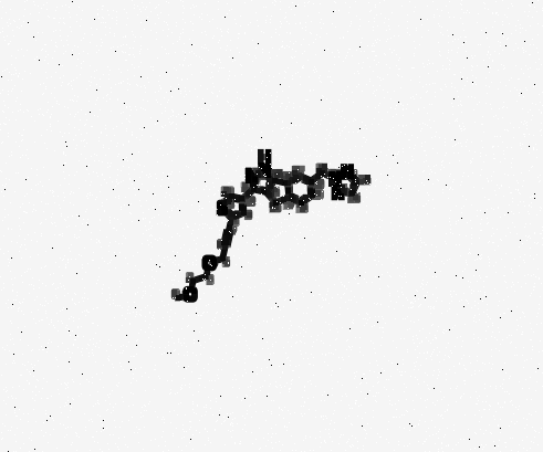 COCCOCC#Cc1cc(-c2n[nH]c3c2Cc2ccc(Cn4nccn4)cc2-3)cs1